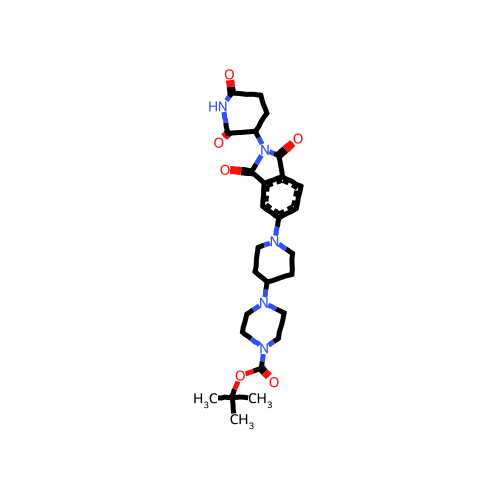 CC(C)(C)OC(=O)N1CCN(C2CCN(c3ccc4c(c3)C(=O)N(C3CCC(=O)NC3=O)C4=O)CC2)CC1